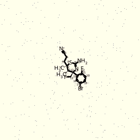 C[C@@H]1[C@@](C)(CCC#N)SC(N)=N[C@]1(CF)c1cc(Br)ccc1F